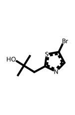 CC(C)(O)Cc1ncc(Br)s1